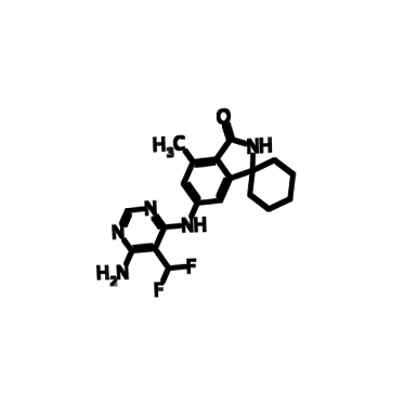 Cc1cc(Nc2ncnc(N)c2C(F)F)cc2c1C(=O)NC21CCCCC1